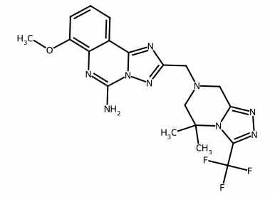 COc1cccc2c1nc(N)n1nc(CN3Cc4nnc(C(F)(F)F)n4C(C)(C)C3)nc21